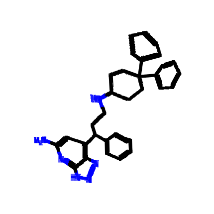 Nc1cc(C(CCNC2CCC(c3ccccc3)(c3ccccc3)CC2)c2ccccc2)c2nn[nH]c2n1